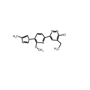 CCc1cc(-c2ccc(-n3cnc(C)c3)c(OC)n2)nnc1Cl